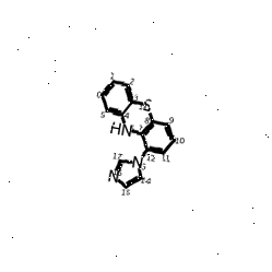 c1ccc2c(c1)Nc1c(cccc1-n1ccnc1)S2